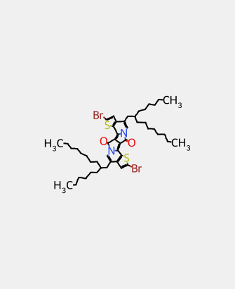 CCCCCCCCC(CCCCCC)CC1=CN2C(=O)C3=C4c5sc(Br)cc5C(CC(CCCCCC)CCCCCCCC)=CN4C(=O)C3=C2c2sc(Br)cc21